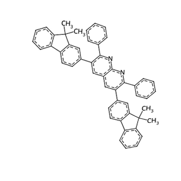 CC1(C)c2ccccc2-c2ccc(-c3cc4cc(-c5ccc6c(c5)C(C)(C)c5ccccc5-6)c(-c5ccccc5)nc4nc3-c3ccccc3)cc21